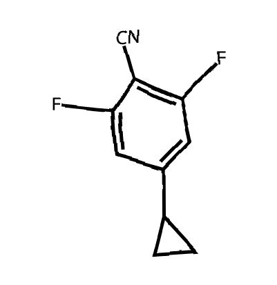 N#Cc1c(F)cc(C2CC2)cc1F